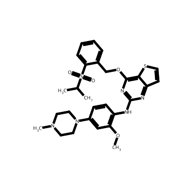 COc1cc(N2CCN(C)CC2)ccc1Nc1nc(OCc2ccccc2S(=O)(=O)C(C)C)c2sccc2n1